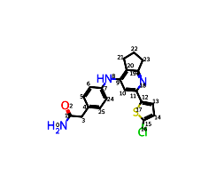 NC(=O)Cc1ccc(Nc2cc(-c3ccc(Cl)s3)nc3c2CCC3)cc1